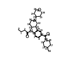 CCCC(=O)N1c2ccc(C(=O)N3CCC(C)CC3)cc2C2CN(C3CCOCC3)CCC21